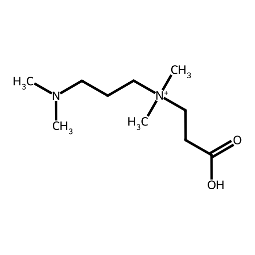 CN(C)CCC[N+](C)(C)CCC(=O)O